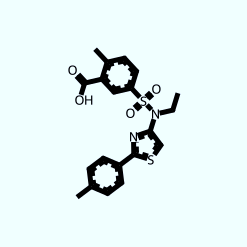 CCN(c1csc(-c2ccc(C)cc2)n1)S(=O)(=O)c1ccc(C)c(C(=O)O)c1